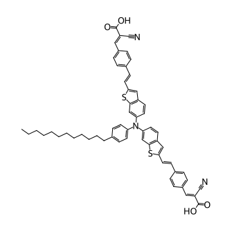 CCCCCCCCCCCCc1ccc(N(c2ccc3cc(/C=C/c4ccc(/C=C(\C#N)C(=O)O)cc4)sc3c2)c2ccc3cc(/C=C/c4ccc(/C=C(\C#N)C(=O)O)cc4)sc3c2)cc1